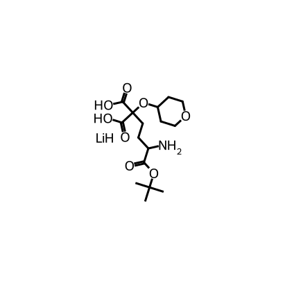 CC(C)(C)OC(=O)C(N)CCC(OC1CCOCC1)(C(=O)O)C(=O)O.[LiH]